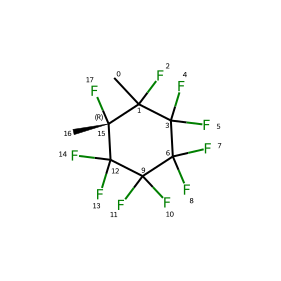 CC1(F)C(F)(F)C(F)(F)C(F)(F)C(F)(F)[C@]1(C)F